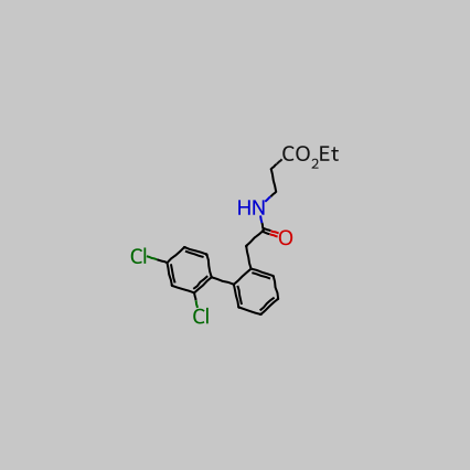 CCOC(=O)CCNC(=O)Cc1ccccc1-c1ccc(Cl)cc1Cl